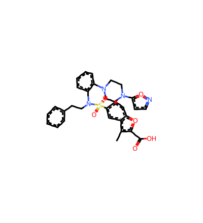 Cc1c(C(=O)O)oc2ccc(S(=O)(=O)N(CCc3ccccc3)c3ccccc3N3CCN(c4ccno4)CC3)cc12